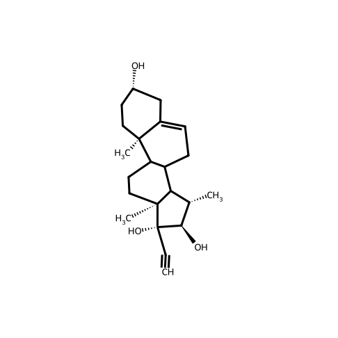 C#C[C@]1(O)[C@H](O)[C@@H](C)C2C3CC=C4C[C@@H](O)CC[C@]4(C)C3CC[C@@]21C